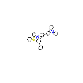 C1=CCCC(N2c3ccccc3C3=CC(c4ccc5c(c4)c4cc(-c6ccccc6)ccc4n5-c4cccc5c4sc4ccccc45)=CCC32)=C1